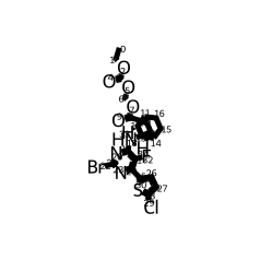 CCOC(=O)OCOC(=O)[C@H]1C2CCC(CC2)[C@@H]1Nc1nc(Br)nc(-c2ccc(Cl)s2)c1F